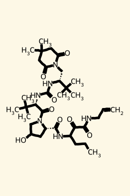 C=CCNC(=O)C(=O)C(CCC)NC(=O)[C@@H]1CC(O)CN1C(=O)[C@@H](NC(=O)N[C@H](CN1C(=O)CC(C)(C)CC1=O)C(C)(C)C)C(C)(C)C